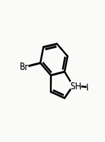 Brc1cccc2c1C=C[SH]2I